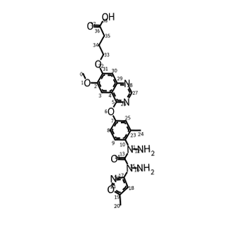 COc1cc2c(Oc3ccc(N(N)C(=O)N(N)c4cc(C)on4)c(C)c3)ncnc2cc1OCCCC(=O)O